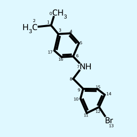 CC(C)c1ccc(NCc2ccc(Br)cc2)cc1